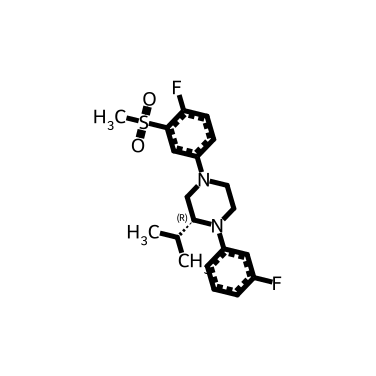 CC(C)[C@@H]1CN(c2ccc(F)c(S(C)(=O)=O)c2)CCN1c1cccc(F)c1